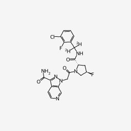 [2H]C([2H])(NC(=O)[C@@H]1C[C@@H](F)CN1C(=O)Cn1nc(C(N)=O)c2ccncc21)c1cccc(Cl)c1F